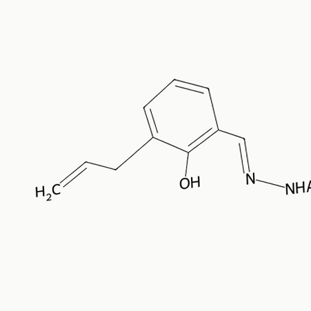 C=CCc1cccc(C=NNC(C)=O)c1O